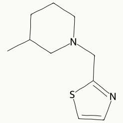 CC1CCCN(Cc2nccs2)C1